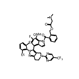 CCc1cccc(CC)c1-n1nc2c(c1-c1cc(F)c(OC)c3c1ccn3C(=O)c1ccccc1COC(=O)CN(C)C)CN(c1ncc(C(F)(F)F)cn1)CC2